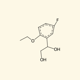 CCOc1ccc(F)cc1C(O)CO